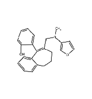 CN(CC1=C(c2ccccc2O)c2ccccc2CCC1)c1ccoc1